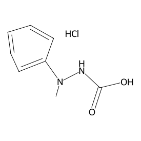 CN(NC(=O)O)c1ccccc1.Cl